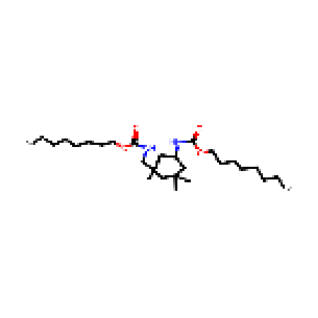 CC(C)CCCCCCCOC(=O)NCC1(C)CC(NC(=O)OCCCCCCCC(C)C)CC(C)(C)C1